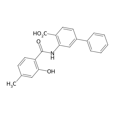 Cc1ccc(C(=O)Nc2cc(-c3ccccc3)ccc2C(=O)O)c(O)c1